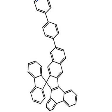 c1ccc2c(c1)-c1ccccc1C21c2cc3cc(-c4ccc(-c5ccncc5)cc4)ccc3cc2-c2c1c1ccccc1c1ccccc21